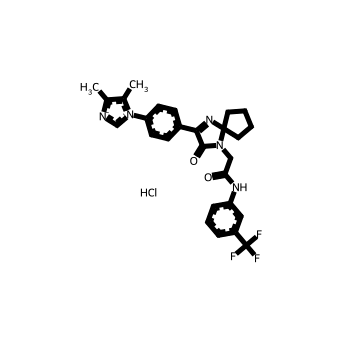 Cc1ncn(-c2ccc(C3=NC4(CCCC4)N(CC(=O)Nc4cccc(C(F)(F)F)c4)C3=O)cc2)c1C.Cl